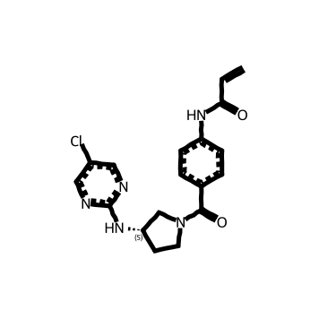 C=CC(=O)Nc1ccc(C(=O)N2CC[C@H](Nc3ncc(Cl)cn3)C2)cc1